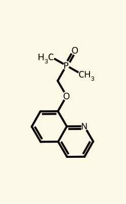 CP(C)(=O)COc1cccc2cccnc12